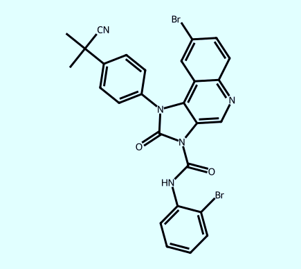 CC(C)(C#N)c1ccc(-n2c(=O)n(C(=O)Nc3ccccc3Br)c3cnc4ccc(Br)cc4c32)cc1